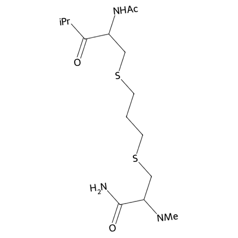 CNC(CSCCCSCC(NC(C)=O)C(=O)C(C)C)C(N)=O